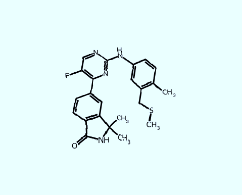 CSCc1cc(Nc2ncc(F)c(-c3ccc4c(c3)C(C)(C)NC4=O)n2)ccc1C